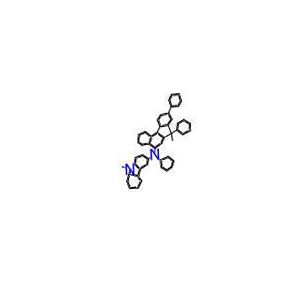 Cn1c2ccccc2c2cc(N(c3ccccc3)c3cc4c(c5ccccc35)-c3ccc(-c5ccccc5)cc3C4(C)c3ccccc3)ccc21